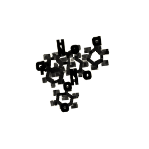 O=C1N[C@H](c2cc(F)ccc2OC2CCOCC2)[C@]2(C[C@@H]1C1C=CC=C(Cl)C1)C(=O)Nc1cc(Cl)ccc12